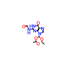 CCOC(OC(C)=O)n1cnc2c(=O)[nH]c(NC=O)nc21